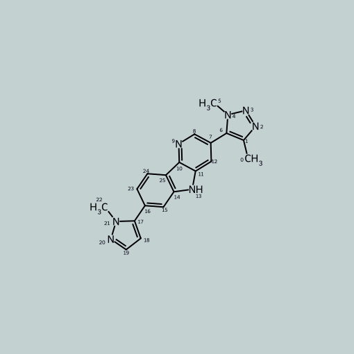 Cc1nnn(C)c1-c1cnc2c(c1)[nH]c1cc(-c3ccnn3C)ccc12